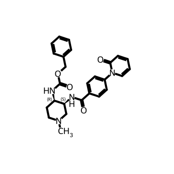 CN1CC[C@@H](NC(=O)OCc2ccccc2)[C@@H](NC(=O)c2ccc(-n3ccccc3=O)cc2)C1